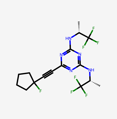 C[C@@H](Nc1nc(C#CC2(F)CCCC2)nc(N[C@H](C)C(F)(F)F)n1)C(F)(F)F